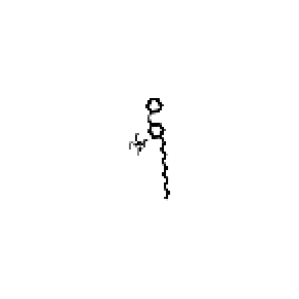 CCCCCCCCCCc1ccc([I+]c2ccccc2)cc1.F[B-](F)(F)F